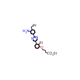 CCOC(=O)CCCOc1cccc(-c2cnc(-c3ccc(CC(C)C)c(N)c3)nc2)c1CC